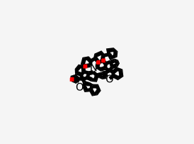 c1ccc(-c2ccc(-c3ccccc3N(c3ccc4c(c3)C3(c5ccccc5Oc5ccccc53)c3ccccc3-4)c3cccc4c3-c3ccccc3C43c4ccccc4Oc4cc5ccccc5cc43)cc2)cc1